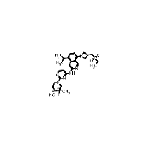 CCS(=O)(=O)CC1CN(c2ccc(C(C)C)c3cc(Nc4ccnc(N5CC[C@@H](O)[C@@](C)(F)C5)n4)ncc23)C1